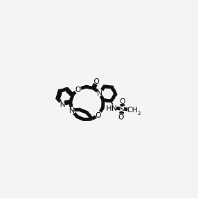 CS(=O)(=O)N[C@H]1CCCN2C(=O)COc3cccnc3N3CCC(CC3)OCC12